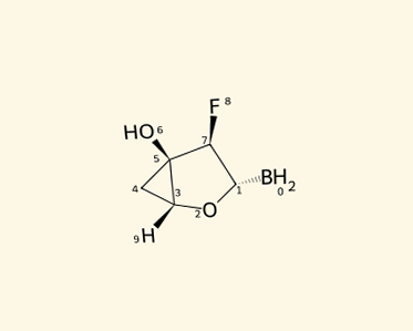 B[C@@H]1O[C@@H]2C[C@]2(O)[C@H]1F